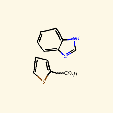 O=C(O)c1cccs1.c1ccc2[nH]cnc2c1